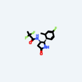 CC1C=C(F)C=C[C@@H]1C1NC(=O)C[C@@H]1NC(=O)C(C)(F)F